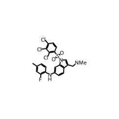 CNCc1cn(S(=O)(=O)c2ccc(Cl)c(Cl)c2Cl)c2cc(Nc3ccc(C)cc3F)ccc12